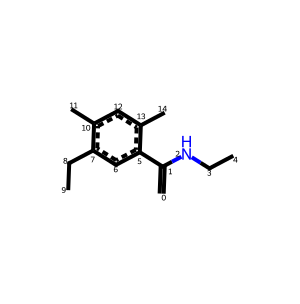 C=C(NCC)c1cc(CC)c(C)cc1C